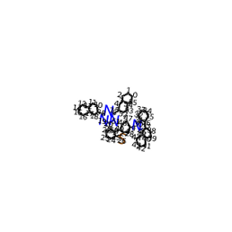 c1ccc2cc(-c3nc(-c4ccc5ccccc5c4)nc(-c4cccc5sc6cc(-n7c8ccccc8c8ccc9ccccc9c87)ccc6c45)n3)ccc2c1